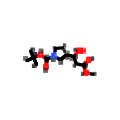 COC(=O)C[C@H](O)[C@H]1CCN(C(=O)OC(C)(C)C)C1